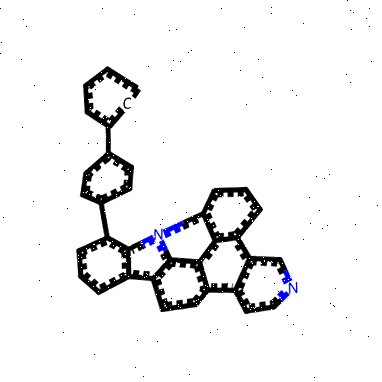 c1ccc(-c2ccc(-c3cccc4c5ccc6c7ccncc7c7cccc8c7c6c5n8c34)cc2)cc1